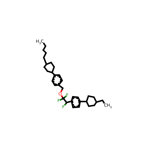 CCCCCC1CCC(c2ccc(COC(F)(F)C(F)c3ccc(C4CCC(CC)CC4)cc3)cc2)CC1